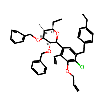 C=CCOc1c(Cl)c(Cc2ccc(CC)cc2)cc(C2O[C@H](CC)[C@@H](C)[C@H](OCc3ccccc3)[C@H]2OCc2ccccc2)c1C=C